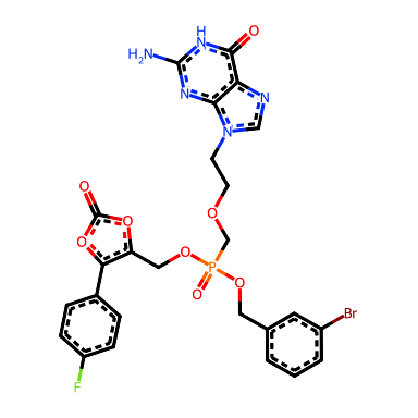 Nc1nc2c(ncn2CCOCP(=O)(OCc2cccc(Br)c2)OCc2oc(=O)oc2-c2ccc(F)cc2)c(=O)[nH]1